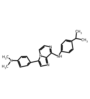 CC(C)c1ccc(Nc2nccn3c(-c4ccc(N(C)C)cc4)cnc23)cc1